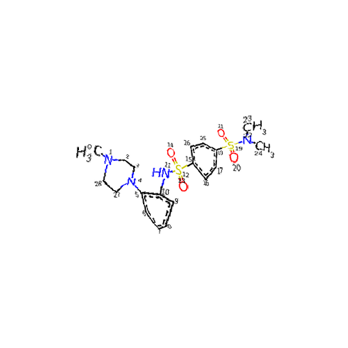 CN1CCN(c2ccccc2NS(=O)(=O)c2ccc(S(=O)(=O)N(C)C)cc2)CC1